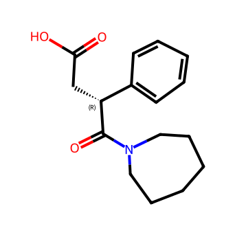 O=C(O)C[C@@H](C(=O)N1CCCCCC1)c1ccccc1